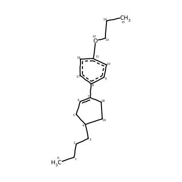 CCCCC1CC=C(c2ccc(OCCC)cc2)CC1